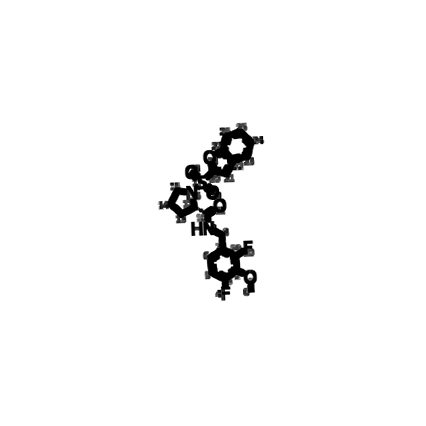 COc1c(F)ccc(CNC(=O)[C@@H]2CCCN2S(=O)(=O)c2cc3ccccc3o2)c1F